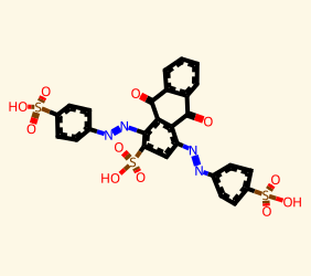 O=C1c2ccccc2C(=O)c2c(N=Nc3ccc(S(=O)(=O)O)cc3)c(S(=O)(=O)O)cc(N=Nc3ccc(S(=O)(=O)O)cc3)c21